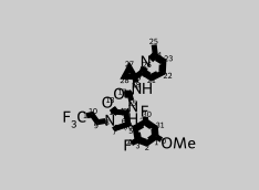 COc1cc(F)c([C@@H]2CN(CCC(F)(F)F)C(=O)[C@H]2NC(=O)NC2(c3cccc(C)n3)CC2)c(F)c1